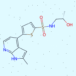 Cc1cc2c(-c3ccc(S(=O)(=O)NC[C@H](C)O)s3)ccnc2[nH]1